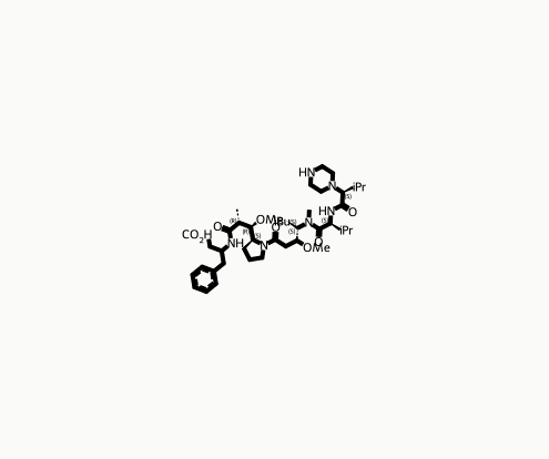 CC[C@H](C)[C@@H](C(CC(=O)N1CCC[C@H]1[C@H](OC)[C@@H](C)C(=O)NC(CC(=O)O)Cc1ccccc1)OC)N(C)C(=O)[C@@H](NC(=O)[C@H](C(C)C)N1CCNCC1)C(C)C